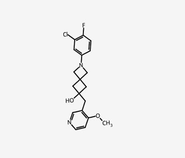 COc1ccncc1CC1(O)CC2(CN(c3ccc(F)c(Cl)c3)C2)C1